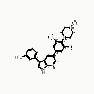 Cc1cccc(-c2c[nH]c3ncc(-c4cc(C)c(N5CCN(C)CC5)c(C)c4)cc23)c1